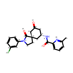 Cc1cccc(C(=O)N[C@H]2CC(=O)C[C@]3(CCN(c4cccc(F)c4)C3=O)C2)n1